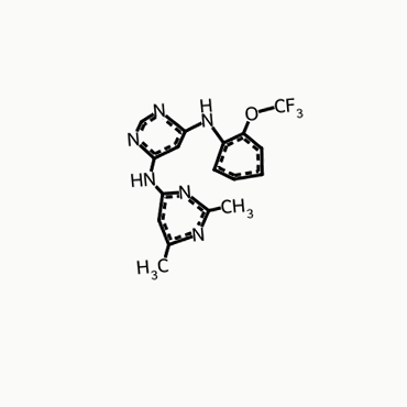 Cc1cc(Nc2cc(Nc3ccccc3OC(F)(F)F)ncn2)nc(C)n1